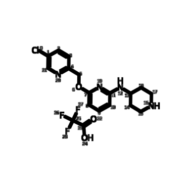 Clc1ccc(COc2cccc(NC3CCNCC3)n2)nc1.O=C(O)C(F)(F)F